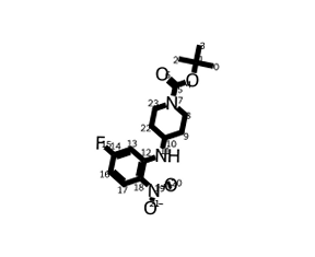 CC(C)(C)OC(=O)N1CCC(Nc2cc(F)ccc2[N+](=O)[O-])CC1